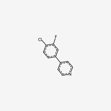 Fc1cc(-c2c[c]ncc2)ccc1Cl